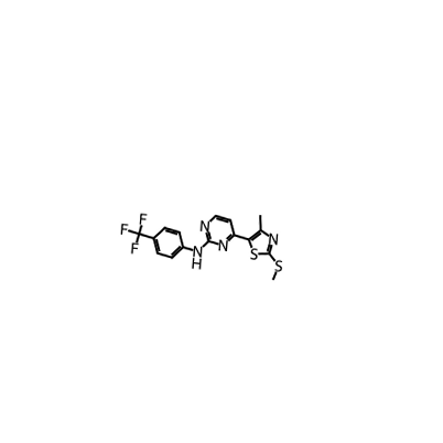 CSc1nc(C)c(-c2ccnc(Nc3ccc(C(F)(F)F)cc3)n2)s1